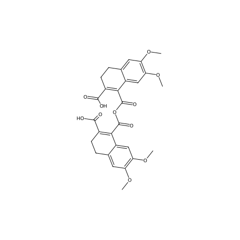 COc1cc2c(cc1OC)C(C(=O)OC(=O)C1=C(C(=O)O)CCc3cc(OC)c(OC)cc31)=C(C(=O)O)CC2